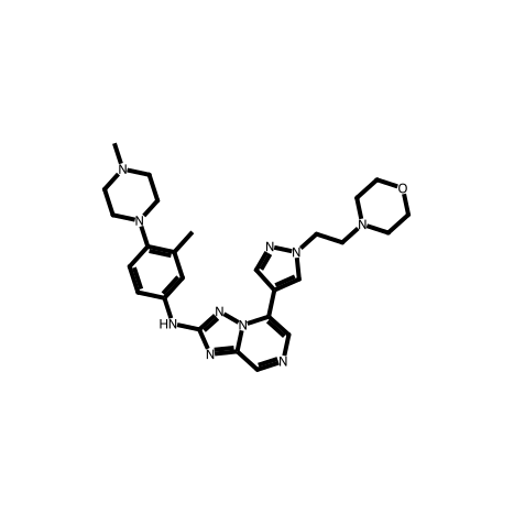 Cc1cc(Nc2nc3cncc(-c4cnn(CCN5CCOCC5)c4)n3n2)ccc1N1CCN(C)CC1